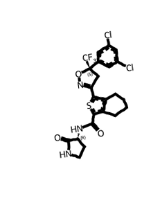 O=C(N[C@@H]1CCNC1=O)c1sc(C2=NO[C@@](c3cc(Cl)cc(Cl)c3)(C(F)(F)F)C2)c2c1CCCC2